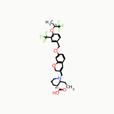 CCC1[C@H](C(=O)O)CCCN1CC1=Cc2ccc(OCc3ccc(O[C@@H](C)C(F)(F)F)c(C(F)(F)F)c3)cc2OC1